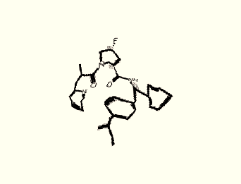 CC(Cc1ccccn1)C(=O)N1C[C@H](F)C[C@H]1C(=O)N[C@@H](c1ccccc1)c1ccc(C(C)C)cc1